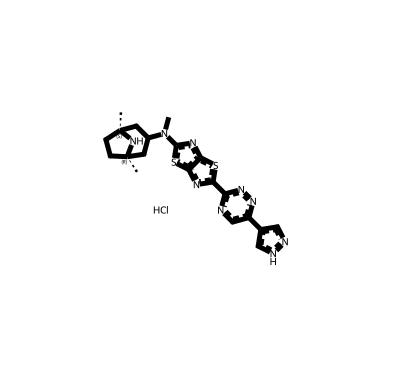 CN(c1nc2sc(-c3ncc(-c4cn[nH]c4)nn3)nc2s1)C1C[C@]2(C)CC[C@](C)(C1)N2.Cl